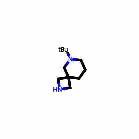 CC(C)(C)N1CCCC2(CNC2)C1